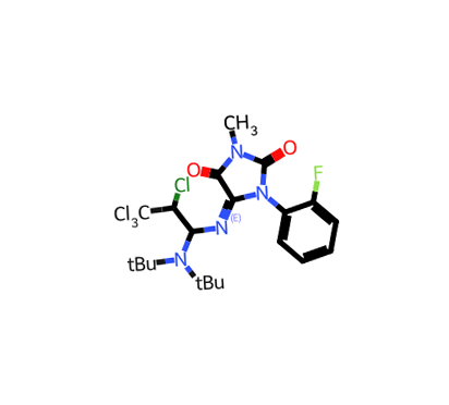 CN1C(=O)/C(=N\C(C(Cl)C(Cl)(Cl)Cl)N(C(C)(C)C)C(C)(C)C)N(c2ccccc2F)C1=O